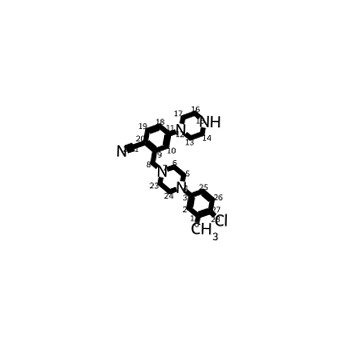 Cc1cc(N2CCN(Cc3cc(N4CCNCC4)ccc3C#N)CC2)ccc1Cl